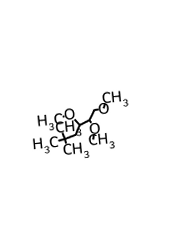 COCC(OC)C(CC(C)(C)C)OC